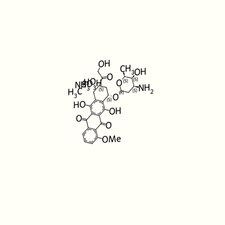 COc1cccc2c1C(=O)c1c(O)c3c(c(O)c1C2=O)C[C@@](O)(C(=O)CO)C[C@@H]3O[C@H]1C[C@H](N)[C@H](O)[C@H](C)O1.CS(=O)(=O)O.N